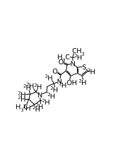 [2H]c1sc2c(c1[2H])c(O)c(C(=O)N([2H])C([2H])([2H])CC([2H])N1C([2H])([2H])C([2H])([2H])C([2H])(C)C([2H])([2H])C1([2H])[2H])c(=O)n2C([2H])(C)C